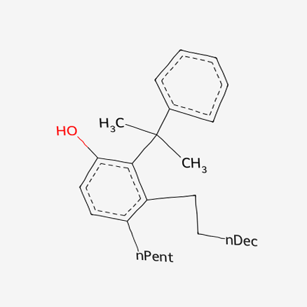 CCCCCCCCCCCCc1c(CCCCC)ccc(O)c1C(C)(C)c1ccccc1